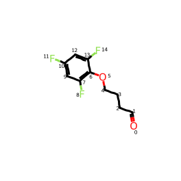 O=CCCCOc1c(F)cc(F)cc1F